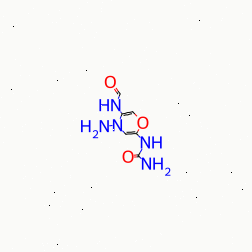 NC(=O)NC1=CN(N)C(NC=O)=CO1